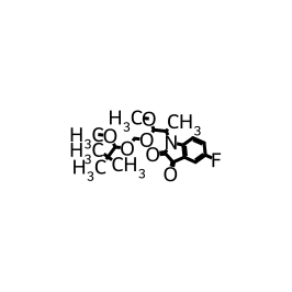 COC(OCOC(OC)C(C)(C)C)C(C)N1C(=O)C(=O)c2cc(F)ccc21